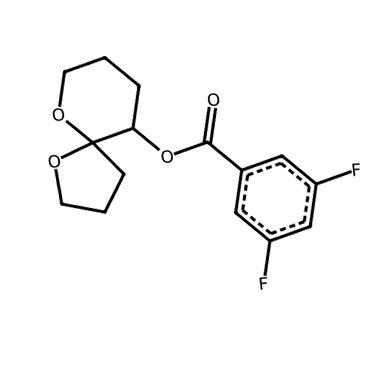 O=C(OC1CCCOC12CCCO2)c1cc(F)cc(F)c1